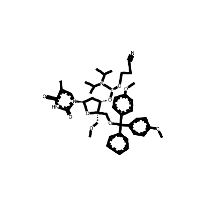 COC[C@]1(COC(c2ccccc2)(c2ccc(OC)cc2)c2ccc(OC)cc2)O[C@@H](n2cc(C)c(=O)[nH]c2=O)C[C@@H]1OP(OCCC#N)N(C(C)C)C(C)C